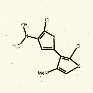 CNc1[c]sc(Cl)c1-c1cc(N(C)C)c(Cl)s1